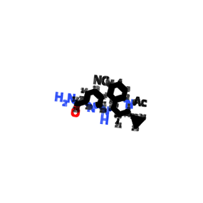 CC(=O)N1c2ccc(C#N)cc2[C@H](Nc2cccc(C(N)=O)n2)[C@@H](C)[C@H]1C1CC1